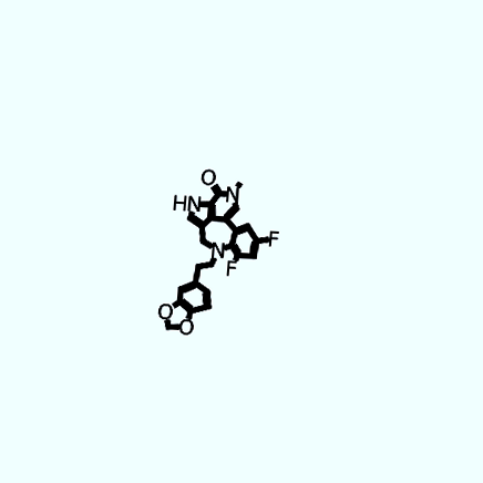 Cn1cc2c3c(c[nH]c3c1=O)CN(CCc1ccc3c(c1)OCO3)c1c(F)cc(F)cc1-2